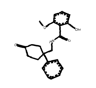 COc1cccc(O)c1C(=O)NCC1(c2ccccc2)CCC(=O)CC1